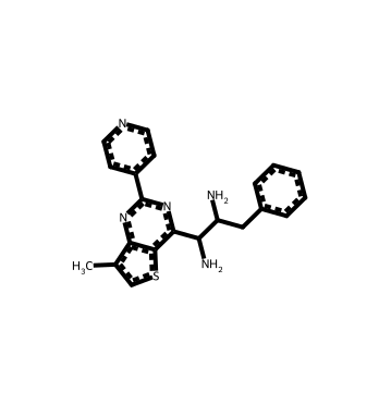 Cc1csc2c(C(N)C(N)Cc3ccccc3)nc(-c3ccncc3)nc12